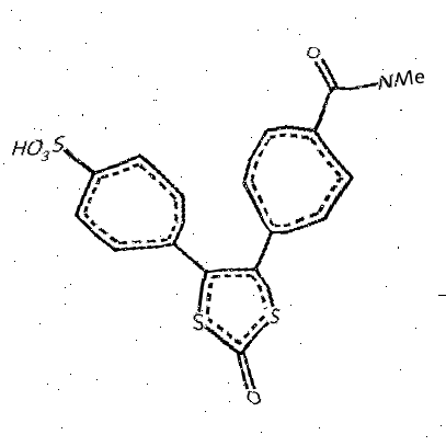 CNC(=O)c1ccc(-c2sc(=O)sc2-c2ccc(S(=O)(=O)O)cc2)cc1